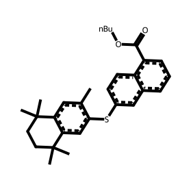 CCCCOC(=O)c1cccc2cc(Sc3cc4c(cc3C)C(C)(C)CCC4(C)C)ccc12